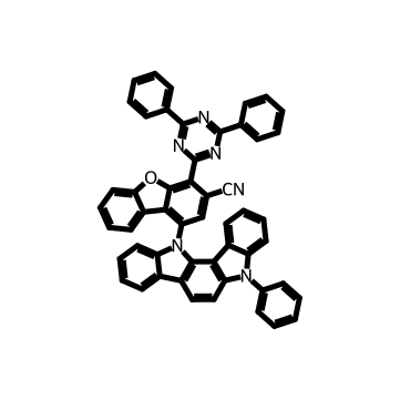 N#Cc1cc(-n2c3ccccc3c3ccc4c(c5ccccc5n4-c4ccccc4)c32)c2c(oc3ccccc32)c1-c1nc(-c2ccccc2)nc(-c2ccccc2)n1